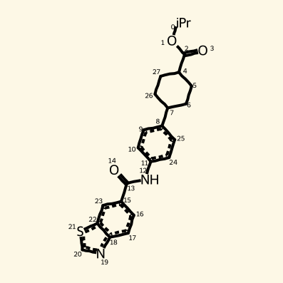 CC(C)OC(=O)C1CCC(c2ccc(NC(=O)c3ccc4ncsc4c3)cc2)CC1